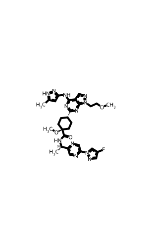 COCCn1ncc2c(Nc3cc(C)[nH]n3)nc([C@H]3CC[C@@](OC)(C(=O)N[C@@H](C)c4cnc(-n5cc(F)cn5)cn4)CC3)nc21